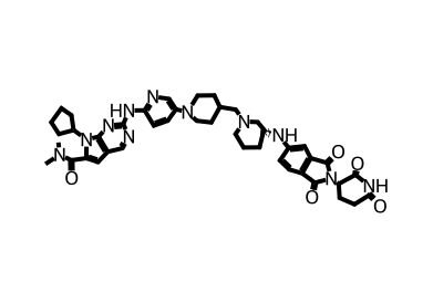 CN(C)C(=O)c1cc2cnc(Nc3ccc(N4CCC(CN5CCC[C@@H](Nc6ccc7c(c6)C(=O)N(C6CCC(=O)NC6=O)C7=O)C5)CC4)cn3)nc2n1C1CCCC1